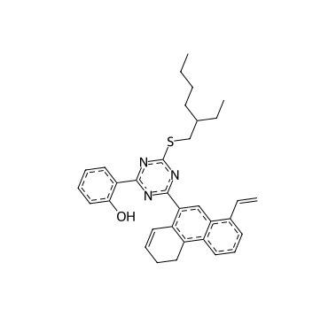 C=Cc1cccc2c3c(c(-c4nc(SCC(CC)CCCC)nc(-c5ccccc5O)n4)cc12)C=CCC3